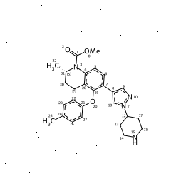 COC(=O)N1c2ccc(-c3cnn(C4CCNCC4)c3)c(Oc3ccc(C)cc3)c2CC[C@@H]1C